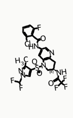 Cc1nn(C(F)F)cc1S(=O)(=O)N1C[C@H](NC(=O)C(F)(F)F)Cc2ncc(NC(=O)c3c(F)cccc3Cl)cc21